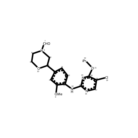 COc1cc(C2CN(C=O)CCO2)ccc1Nc1ncc(Cl)c(OC(C)C)n1